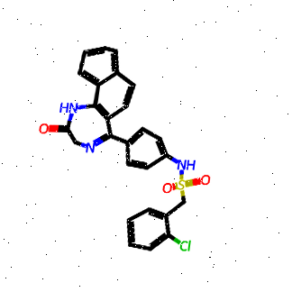 O=C1CN=C(c2ccc(NS(=O)(=O)Cc3ccccc3Cl)cc2)c2ccc3ccccc3c2N1